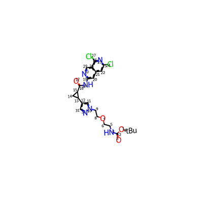 CC(C)(C)OC(=O)NCCOCCn1cc(C2CC2C(=O)Nc2cc3cc(Cl)nc(Cl)c3cn2)cn1